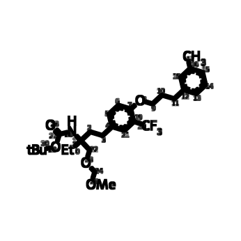 CCC(CCc1ccc(OCCCc2cccc(C)c2)c(C(F)(F)F)c1)(COCOC)NC(=O)OC(C)(C)C